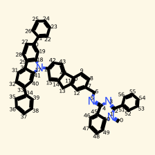 C=N/C(=N\C(=N/Cc1ccc2c(c1)Cc1cc(-n3c4cc(-c5ccccc5)ccc4c4ccc(-c5ccccc5)cc43)ccc1-2)c1ccccc1)c1ccccc1